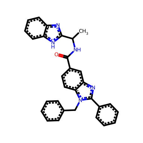 CC(NC(=O)c1ccc2c(c1)nc(-c1ccccc1)n2Cc1ccccc1)c1nc2ccccc2[nH]1